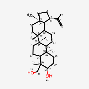 C=C(C)[C@@H]1CC[C@]2(C(C)=O)CC[C@]3(C)C(CCC4[C@@]5(C)CC[C@H](O)[C@@](C)(CO)C5CC[C@]43C)C12